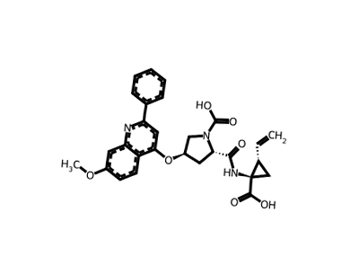 C=C[C@@H]1C[C@]1(NC(=O)[C@@H]1C[C@@H](Oc2cc(-c3ccccc3)nc3cc(OC)ccc23)CN1C(=O)O)C(=O)O